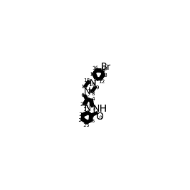 O=c1[nH]c2cc(CN3CCN(c4ccc(Br)cc4)CC3)cn2c2ccccc12